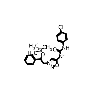 C[Si](C)(C)OC(C[n+]1cc([N-]C(=O)Nc2ccc(Cl)cc2)on1)c1ccccc1